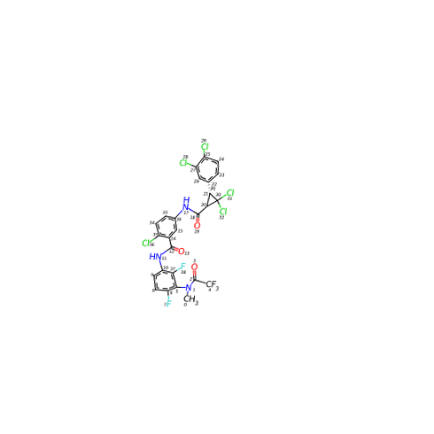 CN(C(=O)C(F)(F)F)c1c(F)ccc(NC(=O)c2cc(NC(=O)C3[C@H](c4ccc(Cl)c(Cl)c4)C3(Cl)Cl)ccc2Cl)c1F